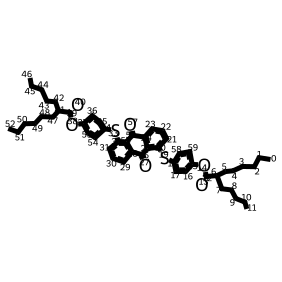 CCCCCCC(CCCCC)C(=O)Oc1ccc(Sc2cccc3c2C(=O)c2cccc(Sc4ccc(OC(=O)C(CCCCC)CCCCCC)cc4)c2C3=O)cc1